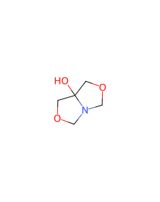 OC12COCN1COC2